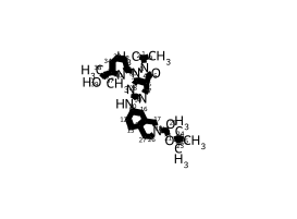 CC(C)n1c(=O)c2cnc(Nc3ccc4c(c3)CN(C(=O)OC(C)(C)C)CC4)nc2n1-c1cccc(C(C)(C)O)n1